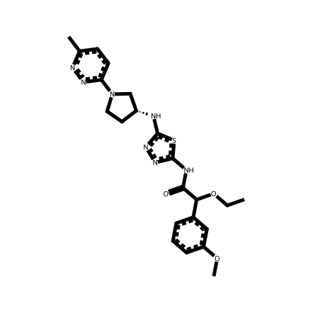 CCOC(C(=O)Nc1nnc(N[C@@H]2CCN(c3ccc(C)nn3)C2)s1)c1cccc(OC)c1